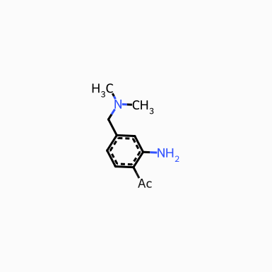 CC(=O)c1ccc(CN(C)C)cc1N